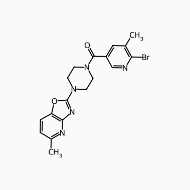 Cc1ccc2oc(N3CCN(C(=O)c4cnc(Br)c(C)c4)CC3)nc2n1